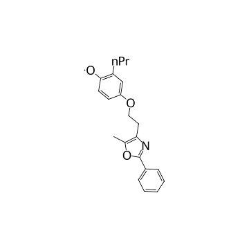 CCCc1cc(OCCc2nc(-c3ccccc3)oc2C)ccc1[O]